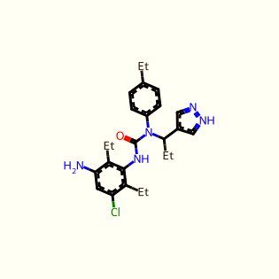 CCc1ccc(N(C(=O)Nc2c(CC)c(N)cc(Cl)c2CC)C(CC)c2cn[nH]c2)cc1